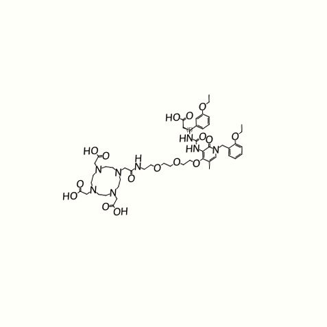 CCOc1cccc([C@H](CC(=O)O)NC(=O)Nc2c(OCCOCCOCCNC(=O)CN3CCN(CC(=O)O)CCN(CC(=O)O)CCN(CC(=O)O)CC3)c(C)cn(Cc3ccccc3OCC)c2=O)c1